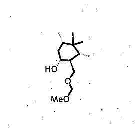 COCOC[C@H]1[C@H](O)C[C@H](C)C(C)(C)[C@@H]1C